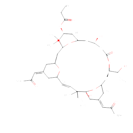 COC(=O)/C=C1/C[C@H]2C[C@]3(O)O[C@H](C[C@@H](O)CC(=O)O[C@@H]([C@@H](C)O)C[C@H]4C/C(=C\C(=O)OC)[C@H](OC(C)=O)[C@@](O)(O4)C(C)(C)/C=C/[C@@H](C1)O2)C[C@H](OC(=O)CC(C)C)C3(C)C